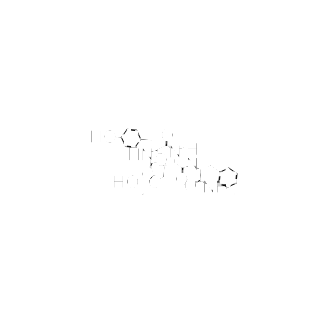 CN(C(=O)[C@]1(Cc2ccc(O)cc2)NC(=O)O1)[C@@H](CCC(=O)O)C(=O)N[C@@H](Cc1ccccc1)C(N)=O